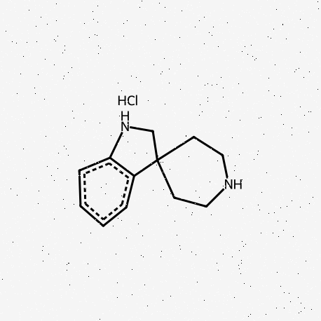 Cl.c1ccc2c(c1)NCC21CCNCC1